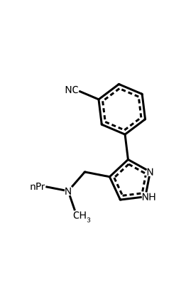 CCCN(C)Cc1c[nH]nc1-c1cccc(C#N)c1